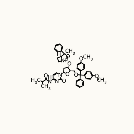 COc1ccc(C(OC[C@H]2O[C@@H](n3ccc(NC(=O)C(C)C)nc3=O)C[C@@H]2O[P@@]2O[C@@](C)(c3ccccc3)[C@@H]3CCN32)(c2ccccc2)c2ccc(OC)cc2)cc1